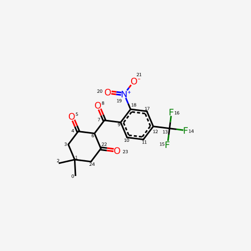 CC1(C)CC(=O)C(C(=O)c2ccc(C(F)(F)F)cc2[N+](=O)[O-])C(=O)C1